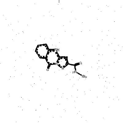 CC(C)(C)NC(=O)c1cc2[nH]c3ccccc3c(=O)n2n1